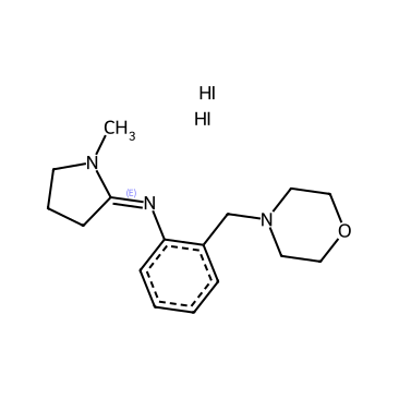 CN1CCC/C1=N\c1ccccc1CN1CCOCC1.I.I